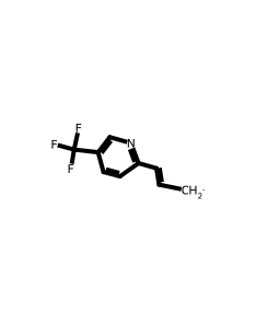 [CH2]C=Cc1ccc(C(F)(F)F)cn1